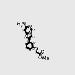 COC(=O)COc1cccc(-c2cn3cnc(N)cc3n2)c1